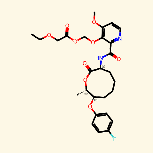 CCOCC(=O)OCOc1c(OC)ccnc1C(=O)N[C@H]1CCCC[C@@H](Oc2ccc(F)cc2)[C@H](C)OC1=O